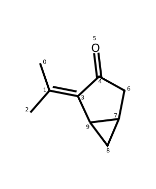 CC(C)=C1C(=O)CC2CC12